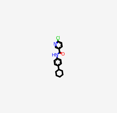 O=C(Nc1ccc(C2CCCCC2)cc1)c1ccc(Cl)nc1